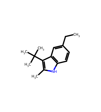 CCc1ccc2[nH]c(C)c(C(C)(C)C)c2c1